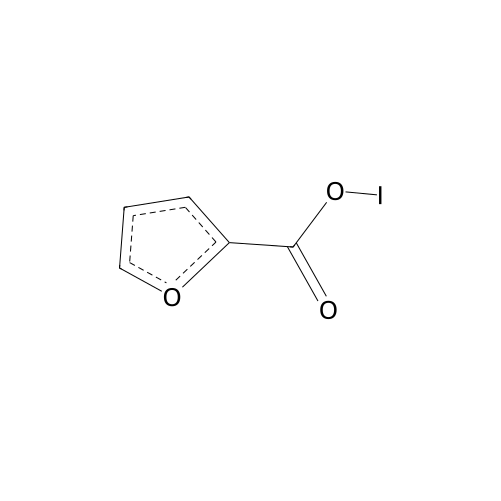 O=C(OI)c1ccco1